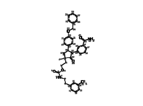 CC1(CCOC(=O)NCCc2cccc(C(F)(F)F)c2)SC(c2ccc(OCc3ccccc3)cc2)N(c2cccc(C(N)=O)c2)C1=O